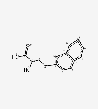 O=C(O)C(O)CCc1ccc2ccccc2c1